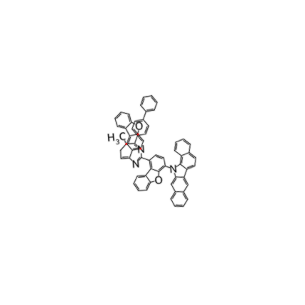 CC1C/C=C(c2ccc3oc4ccccc4c3c2)/N=C(c2ccc(-n3c4cc5ccccc5cc4c4ccc5ccccc5c43)c3oc4ccccc4c23)\N=C/1c1ccc(-c2ccccc2)cc1